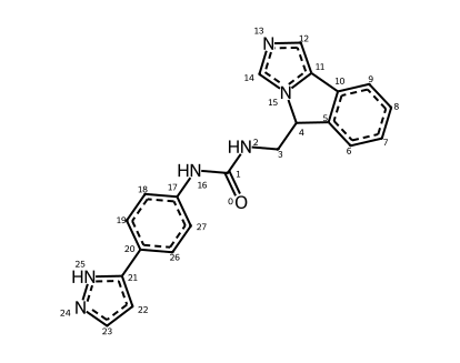 O=C(NCC1c2ccccc2-c2cncn21)Nc1ccc(-c2ccn[nH]2)cc1